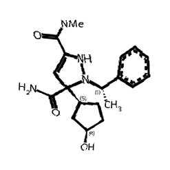 CNC(=O)C1=CC(C(N)=O)([C@H]2CC[C@@H](O)C2)N([C@@H](C)c2ccccc2)N1